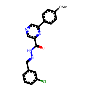 COc1ccc(-c2cncc(C(=O)N/N=C/c3cccc(Cl)c3)n2)cc1